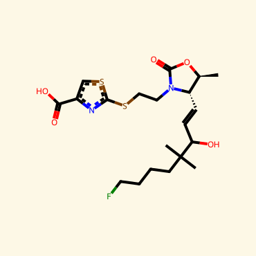 C[C@@H]1OC(=O)N(CCSc2nc(C(=O)O)cs2)[C@H]1C=CC(O)C(C)(C)CCCCF